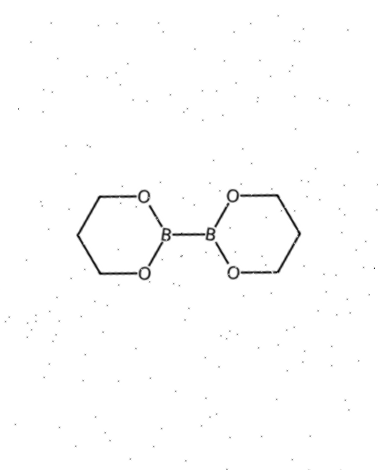 C1COB(B2OCCCO2)OC1